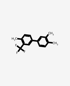 Cc1ccc(-c2ccc(C)c(C(F)(F)F)c2)cc1C